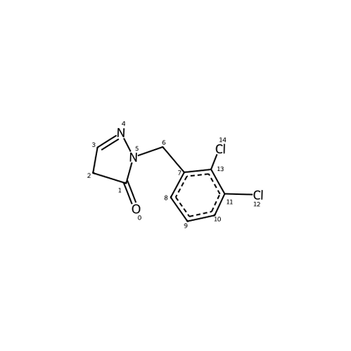 O=C1CC=NN1Cc1cccc(Cl)c1Cl